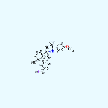 C[C@H](NC(c1ccc(OC(F)(F)F)cc1)C(C)(C)C#N)[C@@H](Cc1ccc(CI)cc1)c1cccc(C#N)c1